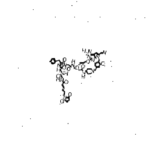 CCCCOc1nc(N)c2cc(C#N)n(Cc3ccc(CN4CCC(NC(=O)COCNC(=O)CNC(=O)C(Cc5ccccc5)NC(=O)CNC(=O)CNC(=O)CCCCCN5C(=O)C=CC5=O)CC4)cc3OC)c2n1